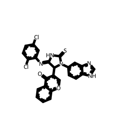 O=c1c(C2C(=Nc3cc(Cl)ccc3Cl)NC(=S)N2c2ccc3[nH]cnc3c2)coc2ccccc12